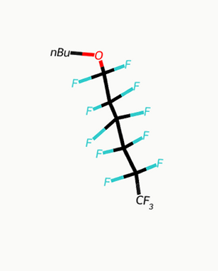 CCCCOC(F)(F)C(F)(F)C(F)(F)C(F)(F)C(F)(F)C(F)(F)F